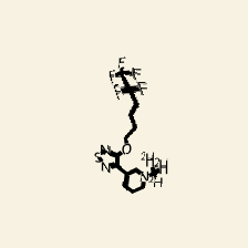 [2H]C([2H])([2H])N1CCC=C(c2nsnc2OCCCCC(F)(F)C(F)(F)F)C1